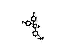 Fc1ccc(C2(c3ccc(F)cc3)CNC(c3cccc(OC(F)(F)F)c3)=N2)cc1